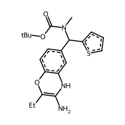 CCC1=C(N)Nc2cc(C(c3cccs3)N(C)C(=O)OC(C)(C)C)ccc2O1